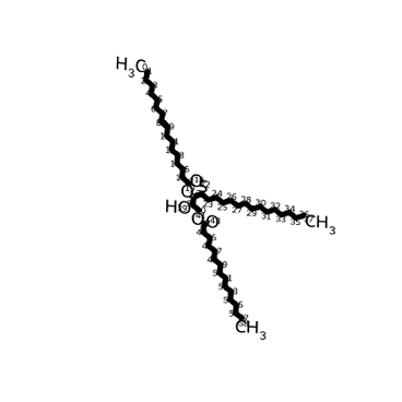 CCCCCCCCC=CCCCCCCCC(=O)OC(C(=S)CCCCCCCCCCCCCCC)C(O)COC(=O)CCCCCCCCCCCCCCC